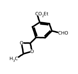 CCOC(=O)c1cc(C=O)cc(C2OC(C)O2)c1